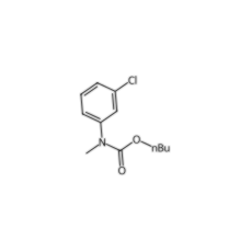 CCCCOC(=O)N(C)c1cccc(Cl)c1